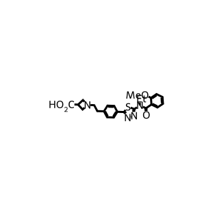 CCN(C(=O)c1ccccc1OC)c1nnc(-c2ccc(CCN3CC(C(=O)O)C3)cc2)s1